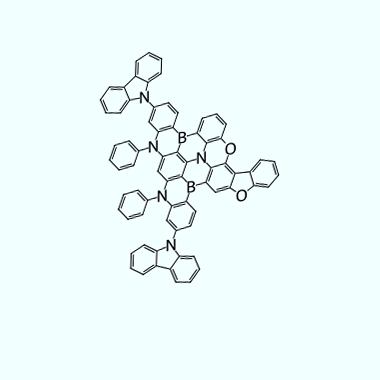 c1ccc(N2c3cc(-n4c5ccccc5c5ccccc54)ccc3B3c4cccc5c4N4c6c3c2cc2c6B(c3ccc(-n6c7ccccc7c7ccccc76)cc3N2c2ccccc2)c2cc3oc6ccccc6c3c(c24)O5)cc1